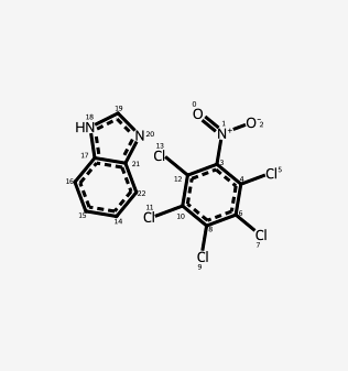 O=[N+]([O-])c1c(Cl)c(Cl)c(Cl)c(Cl)c1Cl.c1ccc2[nH]cnc2c1